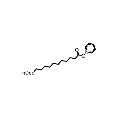 CCCCCCCCCCCCCCCCCCCCC(=O)O[n+]1ccccc1